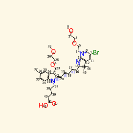 COCCOCC[n+]1cc(Br)cc2c1N=C(/C=C/C=C/C=C1\C(COCCOC)c3cc(C)ccc3N1CCCCC(=O)O)C2(C)C